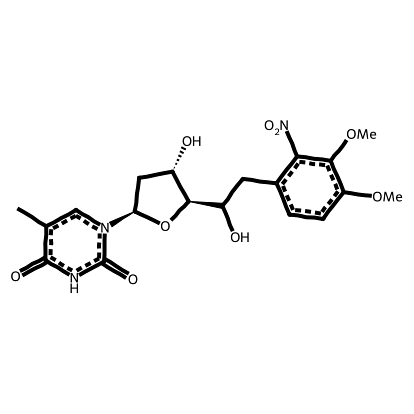 COc1ccc(CC(O)[C@H]2O[C@@H](n3cc(C)c(=O)[nH]c3=O)C[C@@H]2O)c([N+](=O)[O-])c1OC